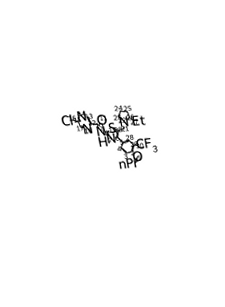 CCCOc1ccc(-c2nc(NC(=O)c3cnc(Cl)cn3)sc2CN2CCC[C@H]2CC)cc1C(F)(F)F